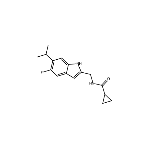 CC(C)c1cc2[nH]c(CNC(=O)C3CC3)cc2cc1F